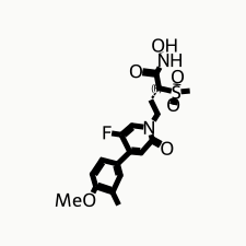 COc1ccc(-c2cc(=O)n(CC[C@H](C(=O)NO)S(C)(=O)=O)cc2F)cc1C